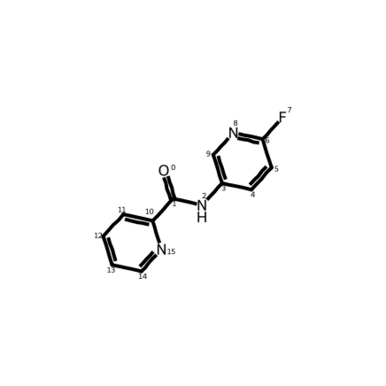 O=C(Nc1ccc(F)nc1)c1ccccn1